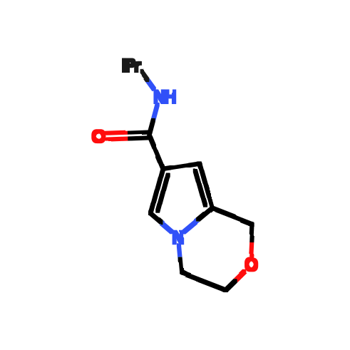 CC(C)NC(=O)c1cc2n(c1)CCOC2